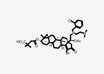 CC(=O)O[C@H](CN(CCN(C)C)Cc1ccccc1Cl)[C@@]12CC[C@]3(C)[C@H](CC[C@@H]4[C@@]5(C)CC[C@H](OC(=O)CC(C)(C)C(=O)O)C6(C)C[C@]65CC[C@]43C)C1=C(C(C)C)C(=O)C2